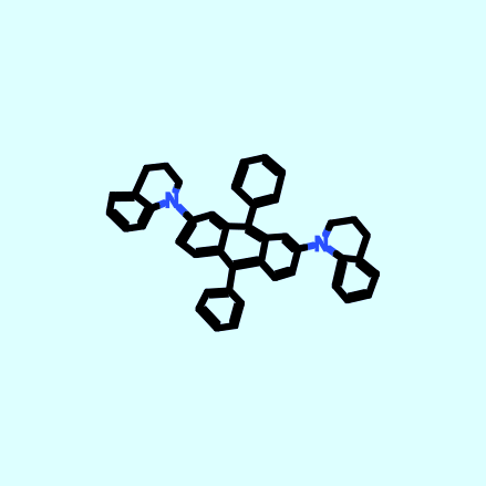 c1ccc(-c2c3ccc(N4CCCc5ccccc54)cc3c(-c3ccccc3)c3cc(N4CCCc5ccccc54)ccc23)cc1